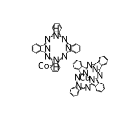 [Co].c1ccc2c(c1)-c1nc-2nc2[nH]c(nc3nc(nc4[nH]c(n1)c1ccccc41)-c1ccccc1-3)c1ccccc21.c1ccc2c(c1)C1=NC/2=N\c2c3ccccc3c3[n]2[Cu][n]2/c(c4ccccc4/c2=N/C2=N\C(=N/3)c3ccccc32)=N\1